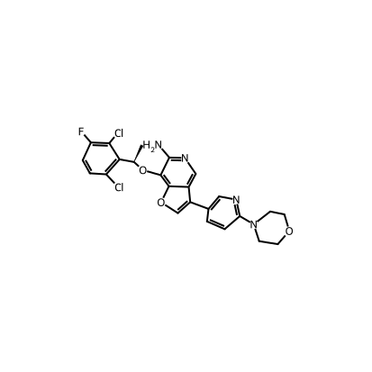 C[C@@H](Oc1c(N)ncc2c(-c3ccc(N4CCOCC4)nc3)coc12)c1c(Cl)ccc(F)c1Cl